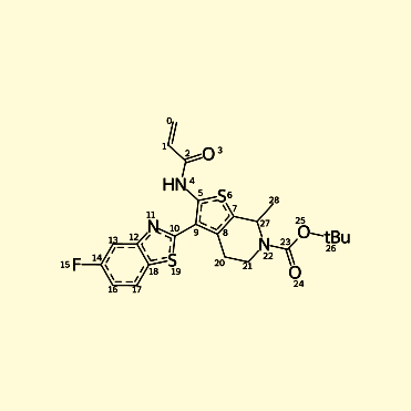 C=CC(=O)Nc1sc2c(c1-c1nc3cc(F)ccc3s1)CCN(C(=O)OC(C)(C)C)C2C